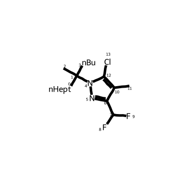 CCCCCCCC(C)(CCCC)n1nc(C(F)F)c(C)c1Cl